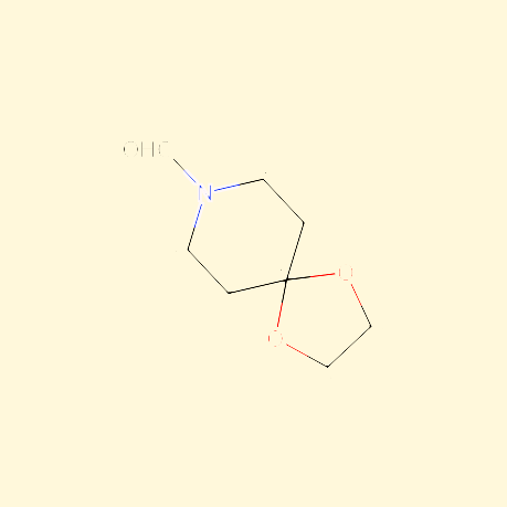 O=CN1CCC2(CC1)OCCO2